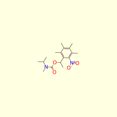 Cc1c(C)c(C)c([N+](=O)[O-])c(C(C)OC(=O)N(C)C(C)C)c1C